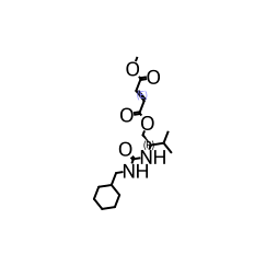 COC(=O)/C=C/C(=O)OC[C@H](NC(=O)NCC1CCCCC1)C(C)C